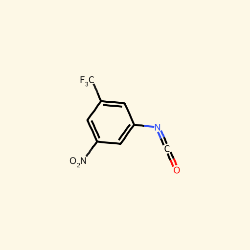 O=C=Nc1cc([N+](=O)[O-])cc(C(F)(F)F)c1